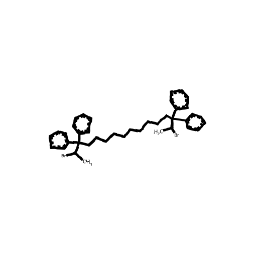 CC(Br)C(CCCCCCCCCCC(c1ccccc1)(c1ccccc1)C(C)Br)(c1ccccc1)c1ccccc1